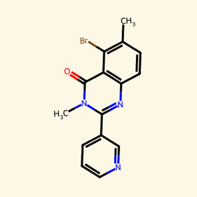 Cc1ccc2nc(-c3cccnc3)n(C)c(=O)c2c1Br